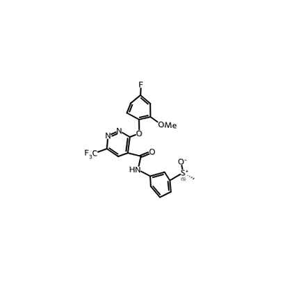 COc1cc(F)ccc1Oc1nnc(C(F)(F)F)cc1C(=O)Nc1cccc([S@@+](C)[O-])c1